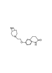 NC1CCN(CCOc2ccc3c(c2)CCC(=O)N3)CC1